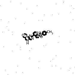 Cc1ccc(S(=O)(=O)n2ccc3c(-c4ncc5c(n4)N4CCOCC4CN5)ccnc32)cc1